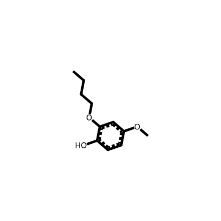 CCCCOc1cc(OC)ccc1O